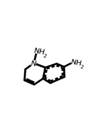 Nc1ccc2c(c1)N(N)CC=C2